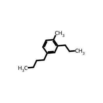 CCCCc1ccc(C)c(CCC)c1